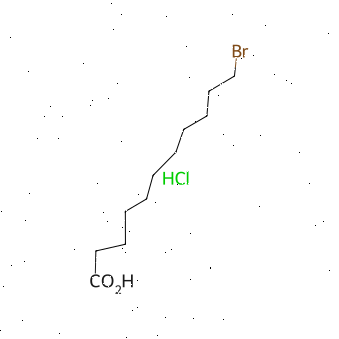 Cl.O=C(O)CCCCCCCCCCBr